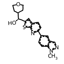 Cn1ncc2cc(-c3ccc4cc([C@@H](O)C5CCOCC5)sc4n3)ccc21